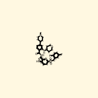 CN1CCC(c2ccc(C(=O)Nc3n[nH]c4ccc(S(=O)(=O)Cc5cc(F)ccc5F)nc34)c(NC3CCOCC3)c2)CC1